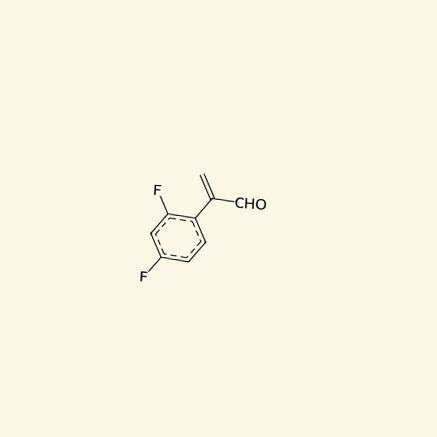 C=C(C=O)c1ccc(F)cc1F